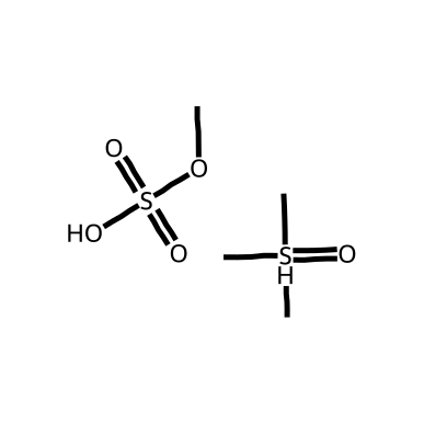 COS(=O)(=O)O.C[SH](C)(C)=O